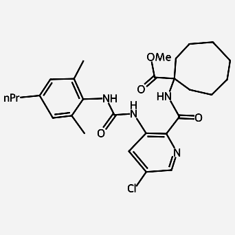 CCCc1cc(C)c(NC(=O)Nc2cc(Cl)cnc2C(=O)NC2(C(=O)OC)CCCCCCC2)c(C)c1